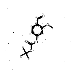 COc1cc(OC(=O)OC(C)(C)C)ccc1C=O